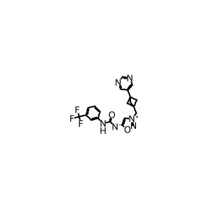 O=C([N-]c1c[n+](CC23CC(c4cncnc4)(C2)C3)no1)Nc1cccc(C(F)(F)F)c1